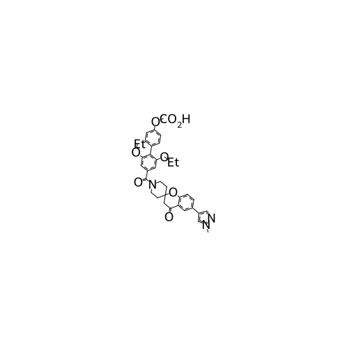 CCOc1cc(C(=O)N2CCC3(CC2)CC(=O)c2cc(-c4cnn(C)c4)ccc2O3)cc(OCC)c1-c1ccc(OC(=O)O)cc1